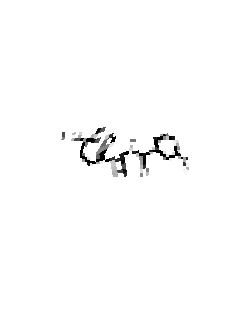 COc1cc(C(=O)NNC(=O)/C=C\C(=O)O)ccn1